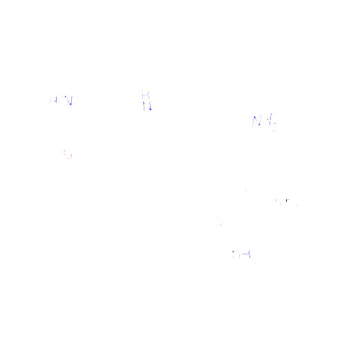 NO[C@H](C(N)C1=CC=C(C(N)=O)NC1)C(F)(F)F